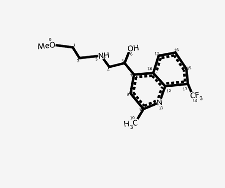 COCCNCC(O)c1cc(C)nc2c(C(F)(F)F)cccc12